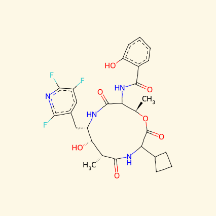 C[C@H]1OC(=O)C(C2CCC2)NC(=O)[C@H](C)[C@H](O)[C@H](Cc2cc(F)c(F)nc2F)NC(=O)C1NC(=O)c1ccccc1O